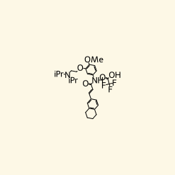 COc1ccc(NC(=O)/C=C/c2ccc3c(c2)CCCC3)cc1OCCN(C(C)C)C(C)C.O=C(O)C(F)(F)F